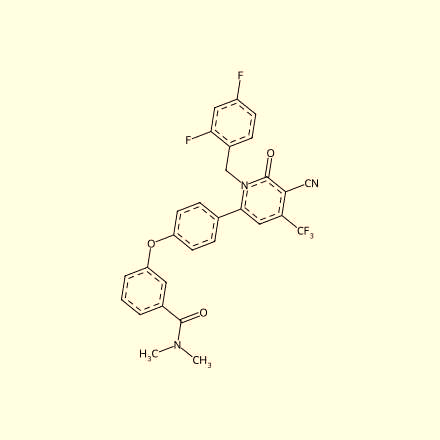 CN(C)C(=O)c1cccc(Oc2ccc(-c3cc(C(F)(F)F)c(C#N)c(=O)n3Cc3ccc(F)cc3F)cc2)c1